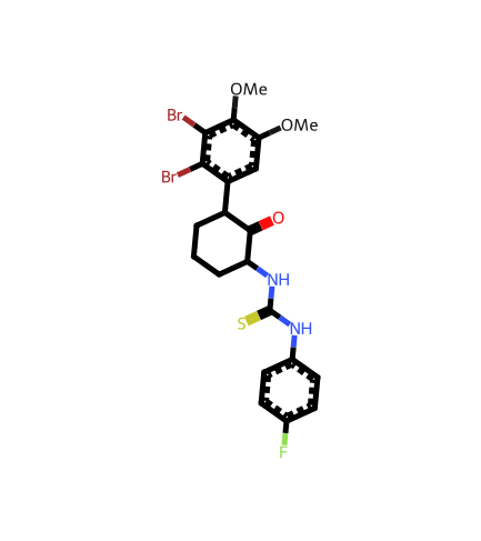 COc1cc(C2CCCC(NC(=S)Nc3ccc(F)cc3)C2=O)c(Br)c(Br)c1OC